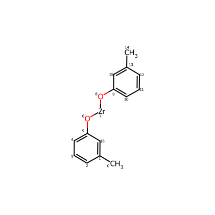 Cc1cccc([O][Zr][O]c2cccc(C)c2)c1